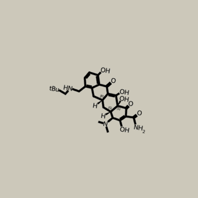 CN(C)C1C(O)=C(C(N)=O)C(=O)[C@@]2(O)C(O)=C3C(=O)c4c(O)ccc(CNCC(C)(C)C)c4C[C@H]3C[C@@H]12